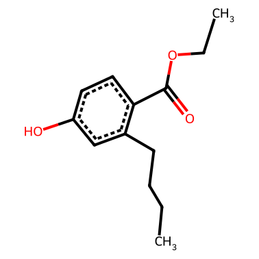 CCCCc1cc(O)ccc1C(=O)OCC